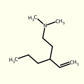 C=CC(CCC)CCN(C)C